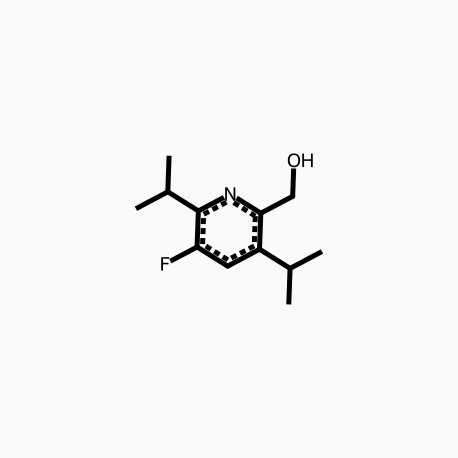 CC(C)c1cc(F)c(C(C)C)nc1CO